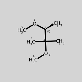 CO[C@@H](C)C(C)(C)OC